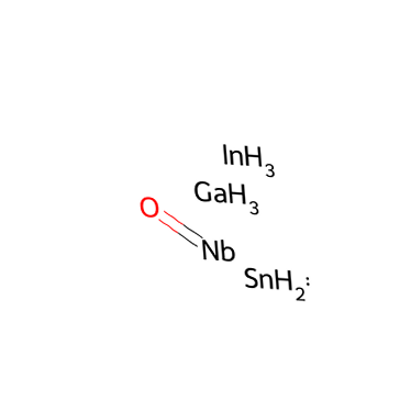 [GaH3].[InH3].[O]=[Nb].[SnH2]